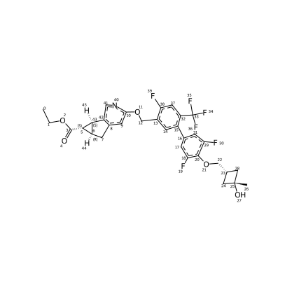 CCOC(=O)[C@H]1[C@@H]2Cc3cc(OCc4cc(-c5cc(F)c(OC[C@H]6C[C@@](C)(O)C6)c(F)c5)c(C(F)(F)F)cc4F)ncc3[C@@H]21